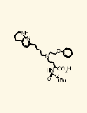 CC(C)(C)OC(=O)NC(CCN(CCCCc1ccc2c(n1)NCCC2)CCOc1ccccc1)C(=O)O